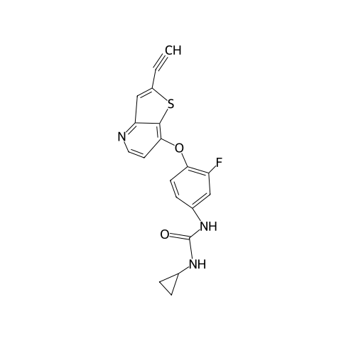 C#Cc1cc2nccc(Oc3ccc(NC(=O)NC4CC4)cc3F)c2s1